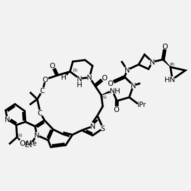 CCn1c(-c2cccnc2[C@H](C)OC)c2c3cc(ccc31)-c1csc(n1)C[C@H](NC(=O)C(C(C)C)N(C)C(=O)N(C)C1CN(C(=O)[C@H]3CN3)C1)C(=O)N1CCC[C@H](N1)C(=O)OCC(C)(C)C2